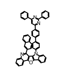 c1ccc(-c2cc(-c3ccc(-c4ccc(-n5c6ccccc6c6oc7c8ccccc8nc(-c8ccc9ccccc9c8)c7c65)cc4)cc3)nc(-c3ccccc3)n2)cc1